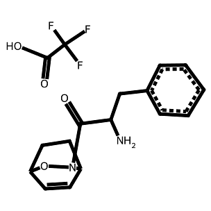 NC(Cc1ccccc1)C(=O)N1OC2C=CC1CC2.O=C(O)C(F)(F)F